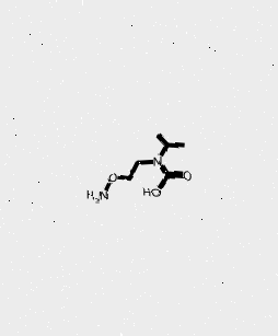 CC(C)N(CCON)C(=O)O